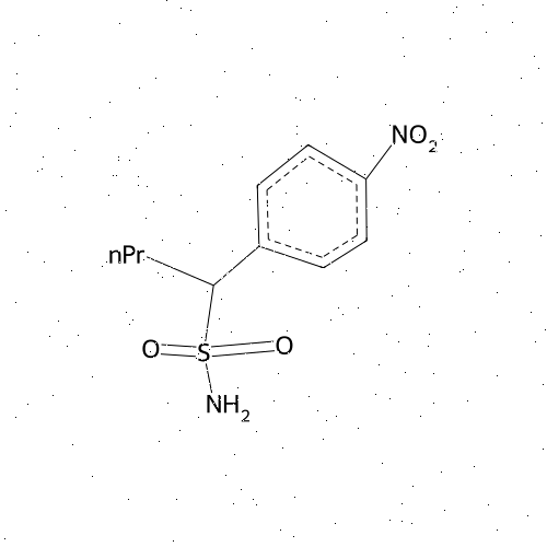 CCCC(c1ccc([N+](=O)[O-])cc1)S(N)(=O)=O